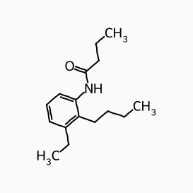 CCCCc1c(CC)cccc1NC(=O)CCC